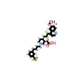 COc1ccc2nccc(C(F)CC[C@@H]3CCN(CCCCc4cccc(C(F)(F)F)c4)C[C@@H]3CC(=O)O)c2c1